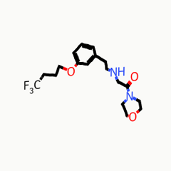 O=C(CNCCc1cccc(OCCCC(F)(F)F)c1)N1CCOCC1